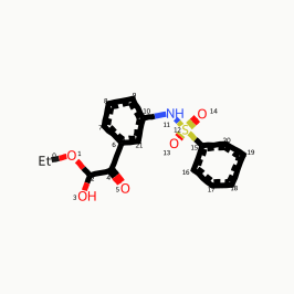 CCOC(O)C(=O)c1cccc(NS(=O)(=O)c2ccccc2)c1